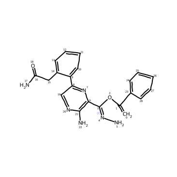 C=C(O/C(=N\N)c1nc(-c2ccccc2CC(N)=O)cnc1N)c1ccccc1